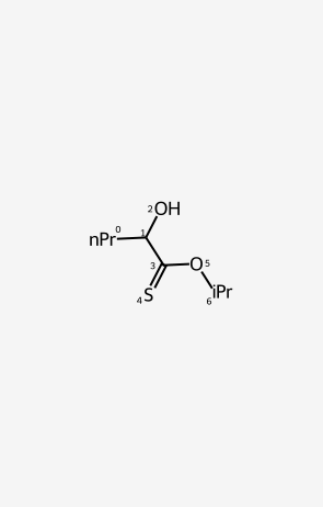 CCCC(O)C(=S)OC(C)C